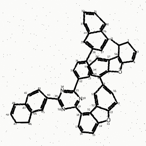 CC1CC=Cc2oc3c(-c4ccc5oc6cccc(-c7nc(-c8ccc(-c9ccc%10ccccc%10c9)cc8)nc(-c8ccc9c(c8)CCC=C9)n7)c6c5c4)cccc3c21